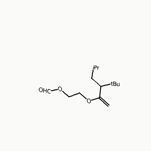 C=C(OCCOC=O)C(CC(C)C)C(C)(C)C